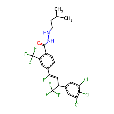 CC(C)CCNNC(=O)c1ccc(/C(F)=C/C(c2cc(Cl)c(Cl)c(Cl)c2)C(F)(F)F)cc1C(F)(F)F